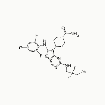 NC(=O)C1CCC(n2c(Nc3c(F)cc(Cl)cc3F)nc3cnc(NCC(F)(F)CO)nc32)CC1